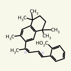 C/C(=C/C=C/c1ccccc1C(=O)O)c1cc2c(cc1C)C(C)(C)CCC2(C)C